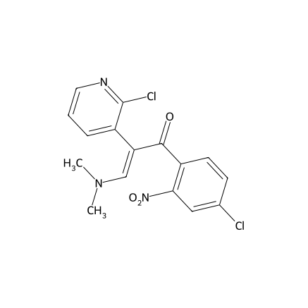 CN(C)C=C(C(=O)c1ccc(Cl)cc1[N+](=O)[O-])c1cccnc1Cl